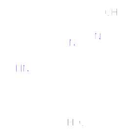 CCc1cn(C)nc1C=N